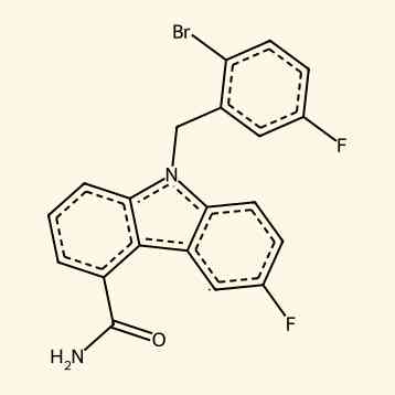 NC(=O)c1cccc2c1c1[c]c(F)ccc1n2Cc1cc(F)ccc1Br